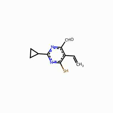 C=Cc1c(S)nc(C2CC2)nc1C=O